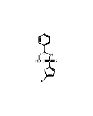 O=S(=O)(N[C@H](CO)c1ccccc1)c1ccc(Br)s1